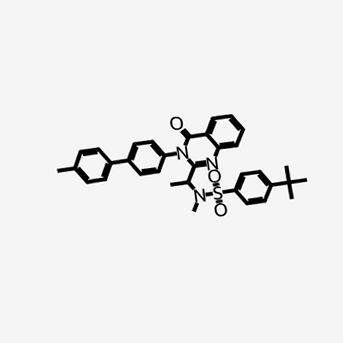 Cc1ccc(-c2ccc(-n3c(C(C)N(C)S(=O)(=O)c4ccc(C(C)(C)C)cc4)nc4ccccc4c3=O)cc2)cc1